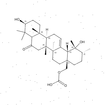 C[C@@H]1CC[C@]2(COC(=O)O)CC[C@]3(C)C(=CC[C@@H]4[C@@]5(C)CC[C@H](O)C(C)(C)C5C(=O)C[C@]43C)[C@@H]2[C@]1(C)O